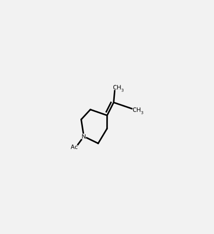 CC(=O)N1CCC(=C(C)C)CC1